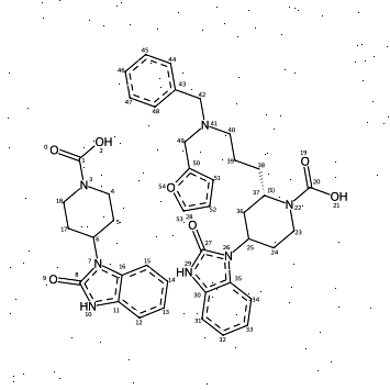 O=C(O)N1CCC(n2c(=O)[nH]c3ccccc32)CC1.O=C(O)N1CCC(n2c(=O)[nH]c3ccccc32)C[C@@H]1CCCN(Cc1ccccc1)Cc1ccco1